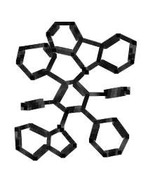 N#Cc1c(-c2ccccc2)c(-n2c3ccccc3c3ccccc32)c(C#N)c(-c2ccccc2)c1-n1ccc2ccccc21